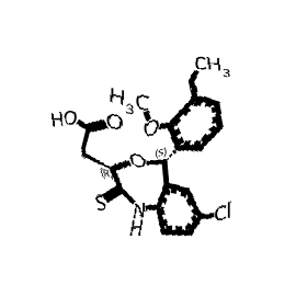 CCc1cccc([C@H]2O[C@H](CC(=O)O)C(=S)Nc3ccc(Cl)cc32)c1OC